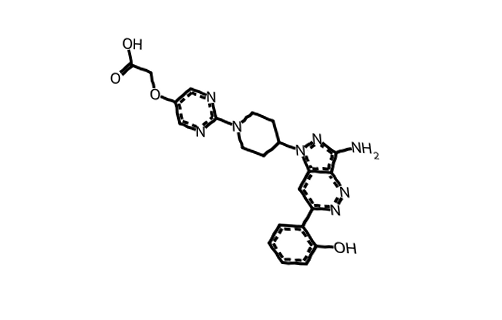 Nc1nn(C2CCN(c3ncc(OCC(=O)O)cn3)CC2)c2cc(-c3ccccc3O)nnc12